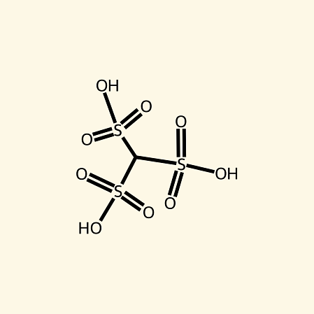 O=S(=O)(O)C(S(=O)(=O)O)S(=O)(=O)O